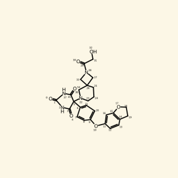 O=C1NC(=O)C(c2ccc(Oc3ccc4c(c3)OCC4)cc2)(N2CCCC3(CN(C(=O)CO)C3)C2)C(=O)N1